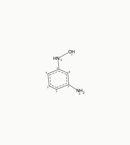 Nc1cccc(NO)c1